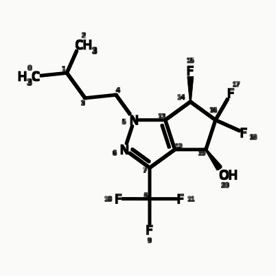 CC(C)CCn1nc(C(F)(F)F)c2c1[C@@H](F)C(F)(F)[C@H]2O